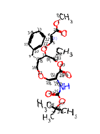 COC(=O)/C=C/O[C@@H]1[C@@H](Cc2ccccc2)COC[C@H](NC(=O)OC(C)(C)C)C(=O)O[C@H]1C